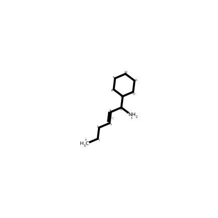 CCC/C=C/C(N)C1CCCCC1